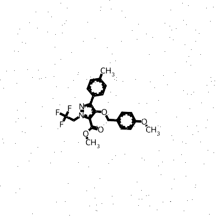 COC(=O)c1c(OCc2ccc(OC)cc2)c(-c2ccc(C)cc2)nn1CC(F)(F)F